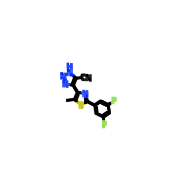 Cc1sc(-c2cc(F)cc(F)c2)nc1-c1nn[nH]c1C#N